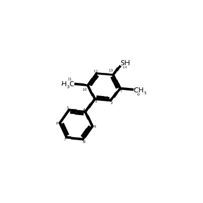 Cc1cc(-c2ccccc2)c(C)cc1S